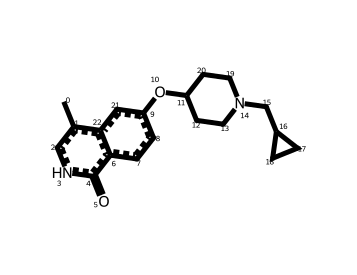 Cc1c[nH]c(=O)c2ccc(OC3CCN(CC4CC4)CC3)cc12